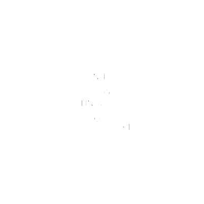 N=C(Cc1ccccc1)NS(=O)(=O)C=Cc1c(Cl)cccc1Cl